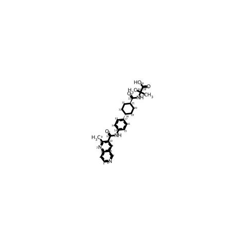 Cc1nc2ccncc2cc1C(=O)Nc1ccc([C@H]2CC[C@H](C(=O)NC(C)(C)C(=O)O)CC2)cc1